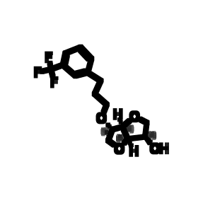 O[C@@H]1CO[C@H]2[C@@H]1OC[C@@H]2OCCCc1cccc(C(F)(F)F)c1